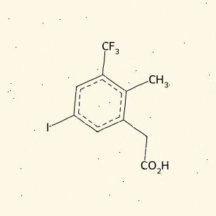 Cc1c(CC(=O)O)cc(I)cc1C(F)(F)F